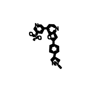 Cn1cc(-c2ccc(-c3cc4nccc(-c5cncc(S(C)(=O)=O)c5)c4o3)cc2)cn1